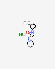 Cl.O=C1C(CN2CCCCCC2)CCN1c1cccc(C(F)(F)F)c1